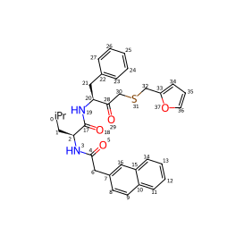 CC(C)C[C@H](NC(=O)Cc1ccc2ccccc2c1)C(=O)N[C@@H](Cc1ccccc1)C(=O)CSCc1ccco1